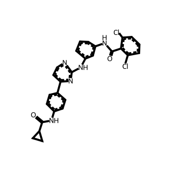 O=C(Nc1cccc(Nc2nccc(-c3ccc(NC(=O)C4CC4)cc3)n2)c1)c1c(Cl)cccc1Cl